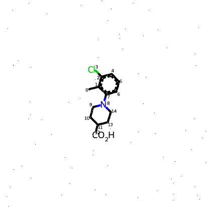 Cc1c(Cl)cccc1N1CCC(C(=O)O)CC1